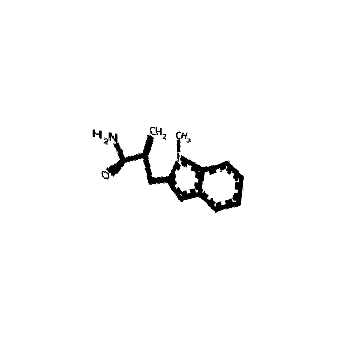 C=C(Cc1cc2ccccc2n1C)C(N)=O